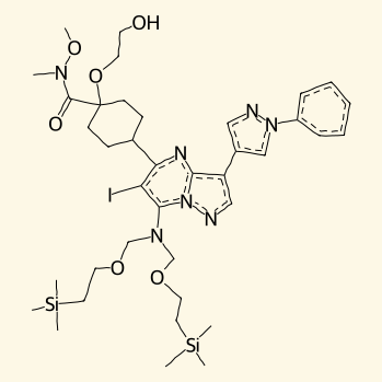 CON(C)C(=O)C1(OCCO)CCC(c2nc3c(-c4cnn(-c5ccccc5)c4)cnn3c(N(COCC[Si](C)(C)C)COCC[Si](C)(C)C)c2I)CC1